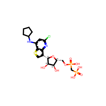 O=P(O)(O)CP(=O)(O)OC[C@H]1O[C@@H](c2csc3c(NC4CCCC4)cc(Cl)nc23)[C@H](O)[C@@H]1O